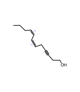 CCC/C=C\C=C/CC#CCCO